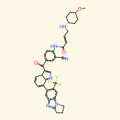 CO[C@H]1CC[C@H](NC/C=C/C(=O)Nc2ccc(C(=O)C3=CN=C4C(c5cc6nc7n(c6cc5C(F)(F)F)CCC7)=CC=CC34)cc2C#N)CC1